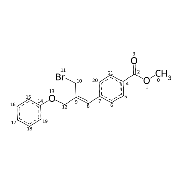 COC(=O)c1ccc(C=C(CBr)COc2ccccc2)cc1